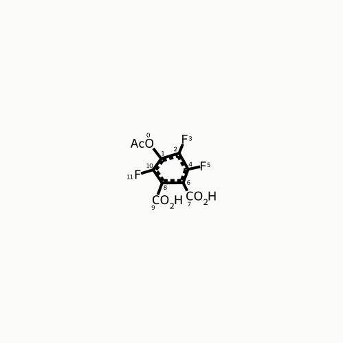 CC(=O)Oc1c(F)c(F)c(C(=O)O)c(C(=O)O)c1F